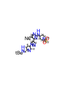 Cc1nc(CNC(C)(C)C)ccc1-n1cc(-c2nc(NC3CCN(S(C)(=O)=O)CC3)ncc2C#N)cn1